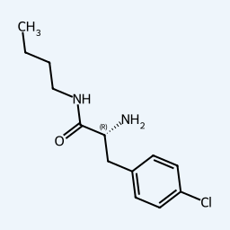 CCCCNC(=O)[C@H](N)Cc1ccc(Cl)cc1